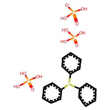 O=P(O)(O)O.O=P(O)(O)O.O=P([O-])(O)O.c1ccc([S+](c2ccccc2)c2ccccc2)cc1